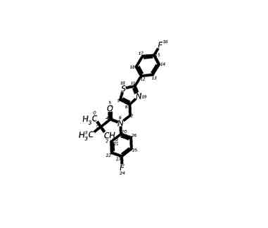 CC(C)(C)C(=O)N(Cc1csc(-c2ccc(F)cc2)n1)c1ccc(F)cc1